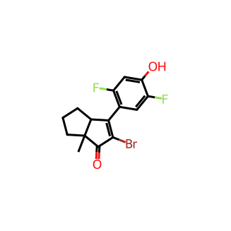 CC12CCCC1C(c1cc(F)c(O)cc1F)=C(Br)C2=O